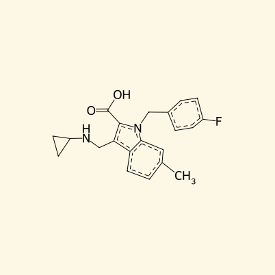 Cc1ccc2c(CNC3CC3)c(C(=O)O)n(Cc3ccc(F)cc3)c2c1